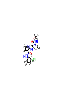 CC(C)(C)ONC(=O)N1CCCC(Nc2ncccc2C(=O)Nc2cccc(Cl)c2)C1